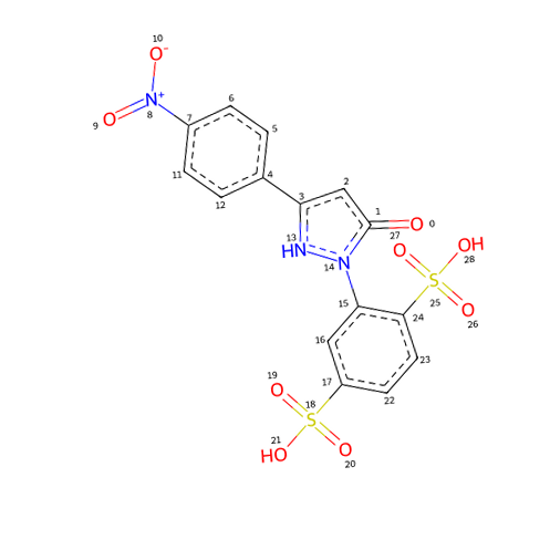 O=c1cc(-c2ccc([N+](=O)[O-])cc2)[nH]n1-c1cc(S(=O)(=O)O)ccc1S(=O)(=O)O